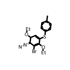 CCOC1=C(Br)C(=[N+]=[N-])C(OCC)C=C1Sc1ccc(C)cc1